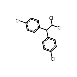 Clc1ccc(C(c2ccc(Cl)cc2)C(Cl)Cl)cc1